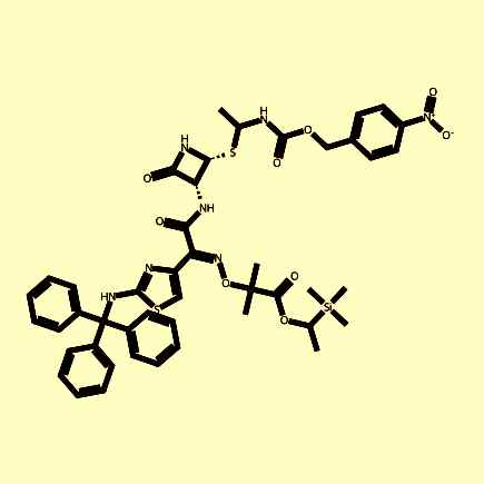 CC(NC(=O)OCc1ccc([N+](=O)[O-])cc1)S[C@H]1NC(=O)[C@H]1NC(=O)C(=NOC(C)(C)C(=O)OC(C)[Si](C)(C)C)c1csc(NC(c2ccccc2)(c2ccccc2)c2ccccc2)n1